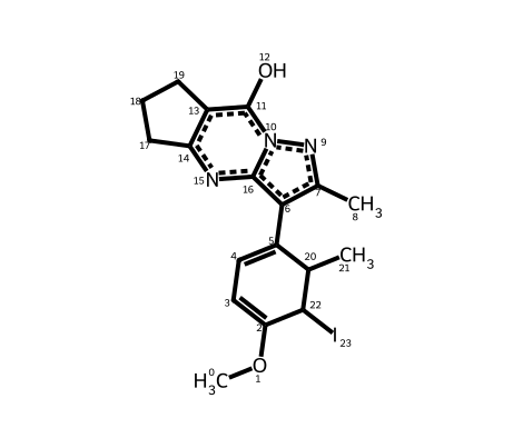 COC1=CC=C(c2c(C)nn3c(O)c4c(nc23)CCC4)C(C)C1I